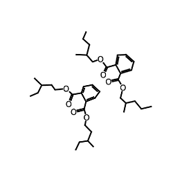 CCC(C)CCOC(=O)c1ccccc1C(=O)OCCC(C)CC.CCCC(C)COC(=O)c1ccccc1C(=O)OCC(C)CCC